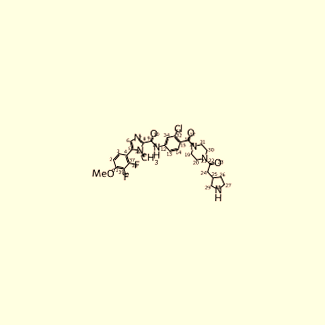 COc1ccc(-c2cnc(C(=O)Nc3ccc(C(=O)N4CCN(C(=O)CC5CCNC5)CC4)c(Cl)c3)n2C)c(F)c1F